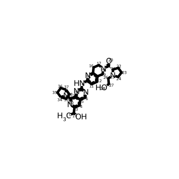 CC(O)c1cc2cnc(Nc3ccc4c(n3)CCN(C(=O)[C@@H]3CCCN3CCO)C4)nc2c(N2C3CCC2CC3)n1